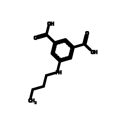 CCCCPc1cc(C(=O)O)cc(C(=O)O)c1